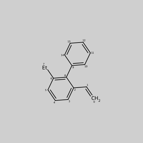 C=Cc1cccc(CC)c1-c1ccccc1